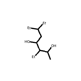 CCC(CC)CC(O)C(CC)C(C)O